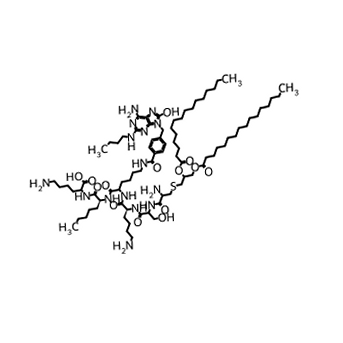 CCCCCCCCCCCCCCCC(=O)OCC(CSCC(N)C(=O)NC(CO)C(=O)N[C@@H](CCCCN)C(=O)NC(CCCCNC(=O)c1ccc(Cn2c(O)nc3c(N)nc(NCCCC)nc32)cc1)C(=O)N[C@@H](CCCCC)C(=O)NC(CCCCN)C(=O)O)OC(=O)CCCCCCCCCCCCCCC